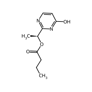 CCCC(=O)O[C@@H](C)c1nccc(O)n1